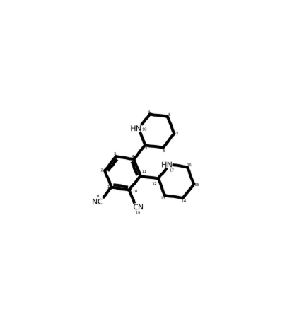 N#Cc1ccc(C2CCCCN2)c(C2CCCCN2)c1C#N